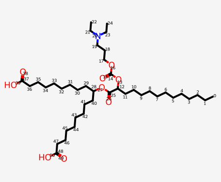 CCCCCCCCCCCCC(OC(=O)OCCCN(CC)CC)C(=O)OC(CCCCCCCCC(=O)O)CCCCCCCCC(=O)O